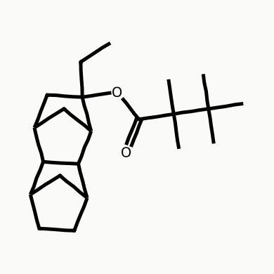 CCC1(OC(=O)C(C)(C)C(C)(C)C)CC2CC1C1C3CCC(C3)C21